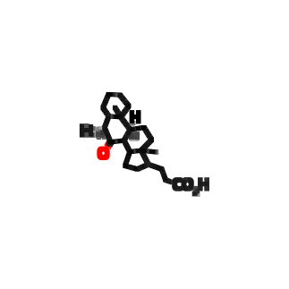 CC[C@H]1C(=O)C2C3CCC(CCC(=O)O)C3(C)CC[C@@H]2C2(C)CCCCC12